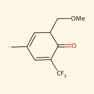 [CH2]C1=CC(COC)C(=O)C(C(F)(F)F)=C1